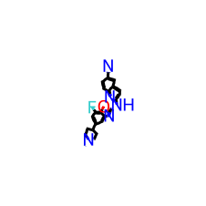 CN1CCC(c2cc(F)c3oc(Nc4ccc5cc(C#N)ccc5n4)nc3c2)CC1